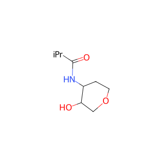 CC(C)C(=O)NC1CCOCC1O